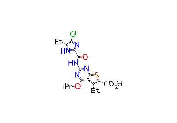 CCc1[nH]c(C(=O)Nc2nc(OC(C)C)c3c(CC)c(C(=O)O)sc3n2)nc1Cl